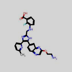 Cc1cccc(-c2nc(CNc3cccc(C(=O)O)c3F)[nH]c2-c2ccc3ncc(OCCN)nc3c2)n1